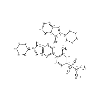 Brn1c(C2CCCCC2)cc2ccccc21.Cc1cc(S(=O)(=O)N(C)C)ccc1-c1ccc2[nH]c(C3CCCCC3)cc2c1